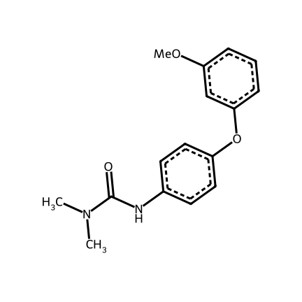 COc1cccc(Oc2ccc(NC(=O)N(C)C)cc2)c1